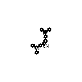 N#Cc1cc2ccc(-c3ccc(-c4cc(-c5ccccc5)cc(-c5ccccc5)n4)cc3)cc2cc1-c1ccc(-c2cc(-c3ccccc3)cc(-c3ccccc3)n2)cc1